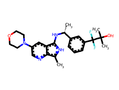 Cc1[nH]c(N[C@H](C)c2cccc(C(F)(F)C(C)(C)O)c2)c2cc(N3CCOCC3)cnc12